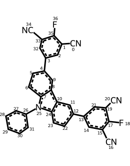 N#Cc1cc(-c2ccc3c(c2)c2cc(-c4cc(C#N)c(F)c(C#N)c4)ccc2n3-c2ccccc2)cc(C#N)c1F